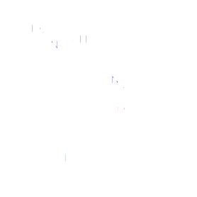 CN(C)[C@H]1CC[C@@H](c2ccc(Cl)c(Cl)c2)c2ccc(NC(=O)c3ccccc3)cc21